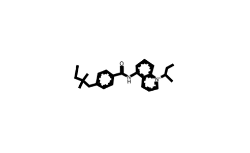 CCC(C)[n+]1cccc2c(NC(=O)c3ccc(CC(C)(C)CC)cc3)cccc21